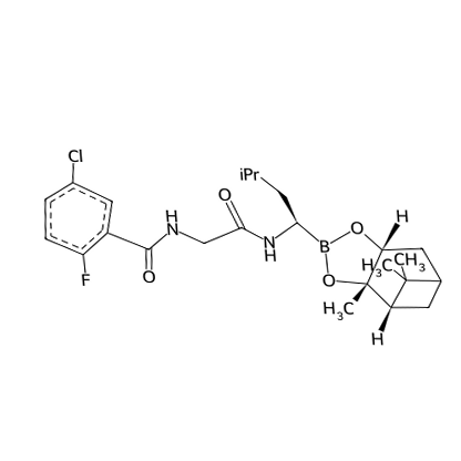 CC(C)C[C@H](NC(=O)CNC(=O)c1cc(Cl)ccc1F)B1O[C@@H]2CC3C[C@@H](C3(C)C)[C@]2(C)O1